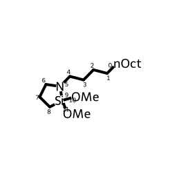 CCCCCCCCCCCCN1CCC[Si]1(OC)OC